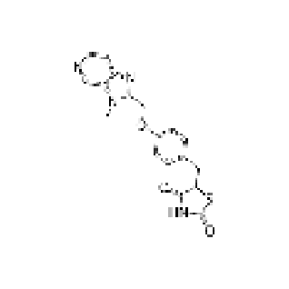 Cn1c(COc2ccc(CC3SC(=O)NC3=O)cc2)nc2ccncc21